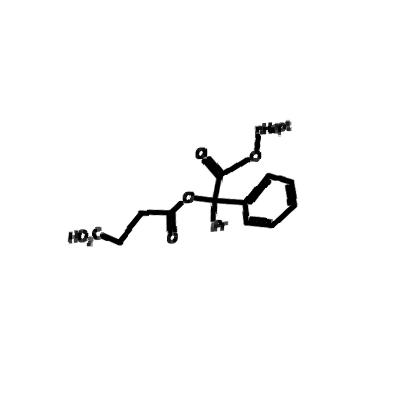 CCCCCCCOC(=O)C(OC(=O)CCC(=O)O)(c1ccccc1)C(C)C